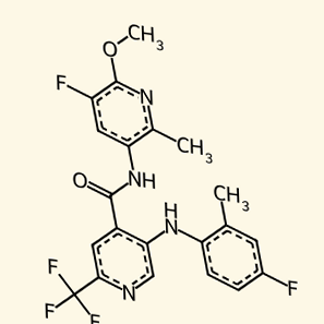 COc1nc(C)c(NC(=O)c2cc(C(F)(F)F)ncc2Nc2ccc(F)cc2C)cc1F